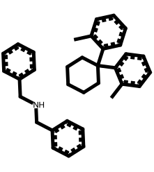 Cc1ccccc1C1(c2ccccc2C)CCCCC1.c1ccc(CNCc2ccccc2)cc1